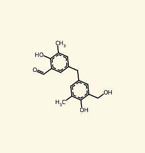 Cc1cc(Cc2cc(C)c(O)c(CO)c2)cc(C=O)c1O